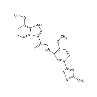 COc1ccc(-c2nc(C)ns2)cc1NCC(=O)c1c[nH]c2c(OC)cccc12